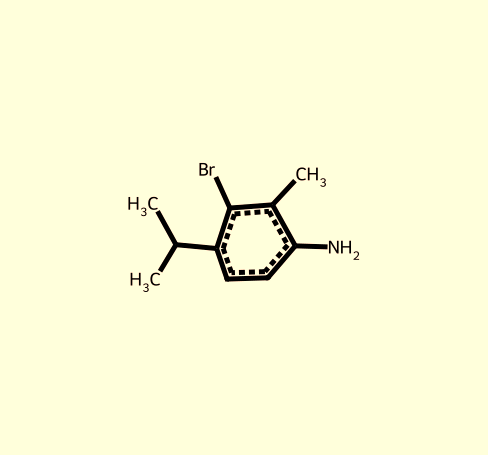 Cc1c(N)ccc(C(C)C)c1Br